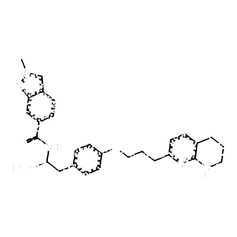 Cn1cc2ccc(C(=O)N[C@@H](Cc3ccc(OCCCc4ccc5c(n4)NCCC5)cc3)C(=O)O)cc2n1